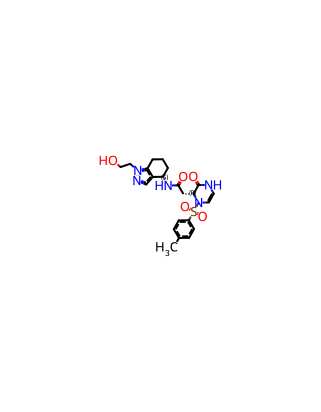 Cc1ccc(S(=O)(=O)N2C=CNC(=O)[C@H]2CC(=O)N[C@H]2CCCc3c2cnn3CCO)cc1